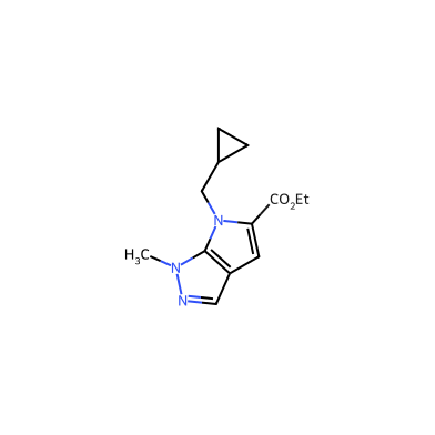 CCOC(=O)c1cc2cnn(C)c2n1CC1CC1